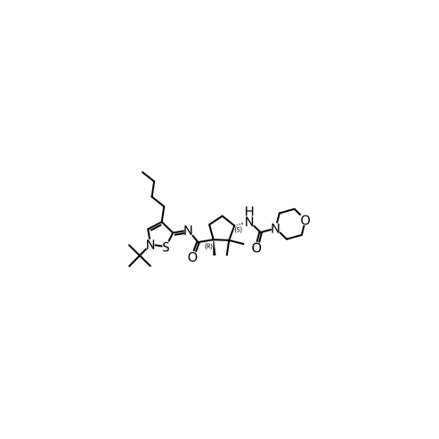 CCCCc1cn(C(C)(C)C)sc1=NC(=O)[C@]1(C)CC[C@H](NC(=O)N2CCOCC2)C1(C)C